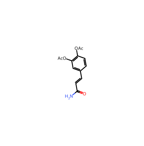 CC(=O)Oc1ccc(C=CC(N)=O)cc1OC(C)=O